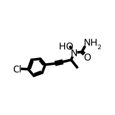 CC(C#Cc1ccc(Cl)cc1)N(O)C(N)=O